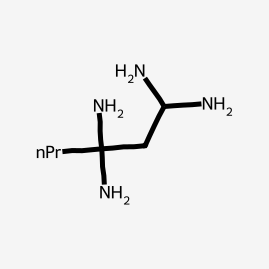 CCCC(N)(N)CC(N)N